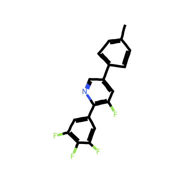 Cc1ccc(-c2cnc(-c3cc(F)c(F)c(F)c3)c(F)c2)cc1